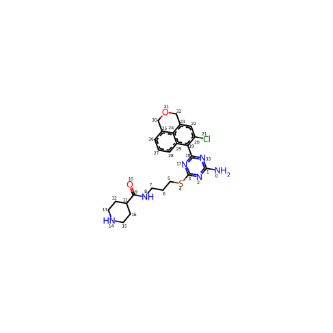 Nc1nc(SCCCNC(=O)C2CCNCC2)nc(-c2c(Cl)cc3c4c(cccc24)COC3)n1